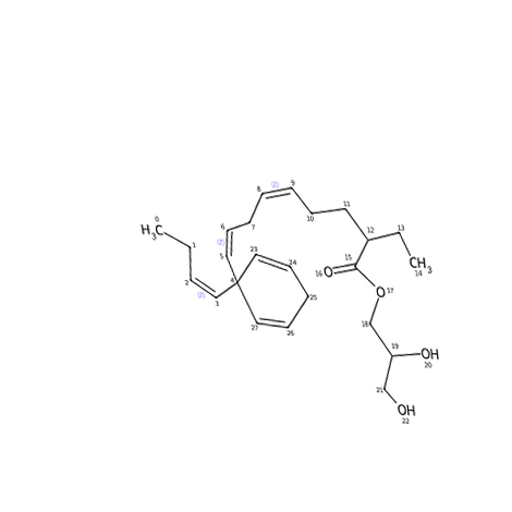 CC/C=C\C1(/C=C\C/C=C\CCC(CC)C(=O)OCC(O)CO)C=CCC=C1